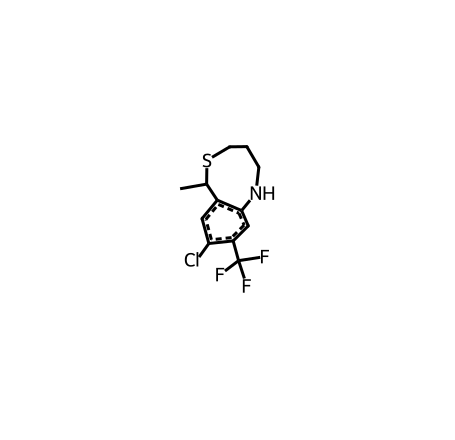 CC1SCCCNc2cc(C(F)(F)F)c(Cl)cc21